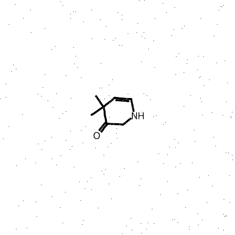 CC1(C)C=CNCC1=O